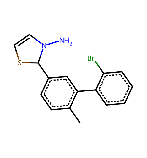 Cc1ccc(C2SC=CN2N)cc1-c1ccccc1Br